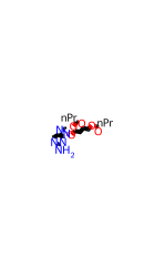 CCCC(=O)OCCCC(OC(=O)CCC)On1cnc2cnc(N)nc21